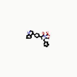 CC(C(=O)N1C(=O)OC[C@H]1Cc1ccccc1)C1CCC(c2ccnc3ccccc23)CC1